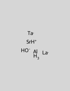 [AlH3].[La].[OH-].[SrH+].[Ta]